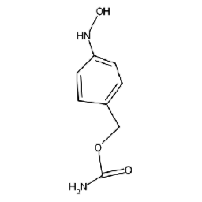 NC(=O)OCc1ccc(NO)cc1